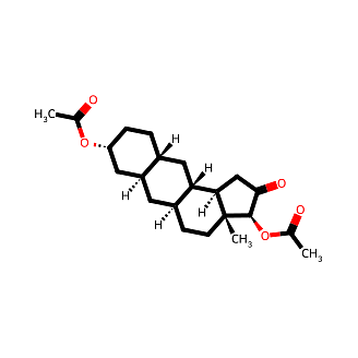 CC(=O)O[C@@H]1CC[C@@H]2C[C@H]3[C@@H](CC[C@@]4(C)[C@H](OC(C)=O)C(=O)C[C@H]34)C[C@H]2C1